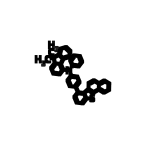 CC1(C)c2ccccc2-c2c(N(c3ccccc3)c3ccc(-c4cccc5sc6c7ccccc7ccc6c45)cc3)cccc21